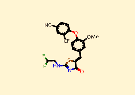 COc1cc(/C=C2\SC(NCC(F)F)=NC2=O)ccc1Oc1ccc(C#N)cc1C(F)(F)F